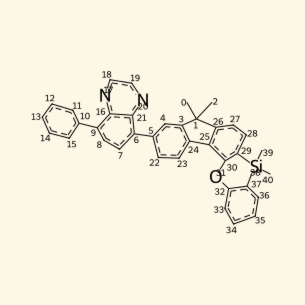 CC1(C)c2cc(-c3ccc(-c4ccccc4)c4nccnc34)ccc2-c2c1ccc1c2Oc2ccccc2[Si]1(C)C